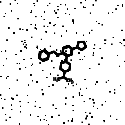 CC(C)N1CCN(c2cc(N3CCCC3)ccc2OCc2ccccc2)CC1